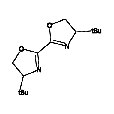 CC(C)(C)C1COC(C2=NC(C(C)(C)C)CO2)=N1